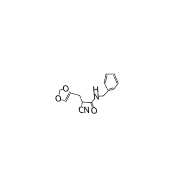 N#CC(CC1=COCO1)C(=O)NCc1ccccc1